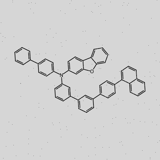 c1ccc(-c2ccc(N(c3cccc(-c4cccc(-c5ccc(-c6cccc7ccccc67)cc5)c4)c3)c3ccc4c(c3)oc3ccccc34)cc2)cc1